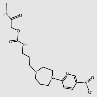 CNC(=O)COC(=O)NCCCN1CCCN(c2ccc([N+](=O)[O-])cn2)CC1